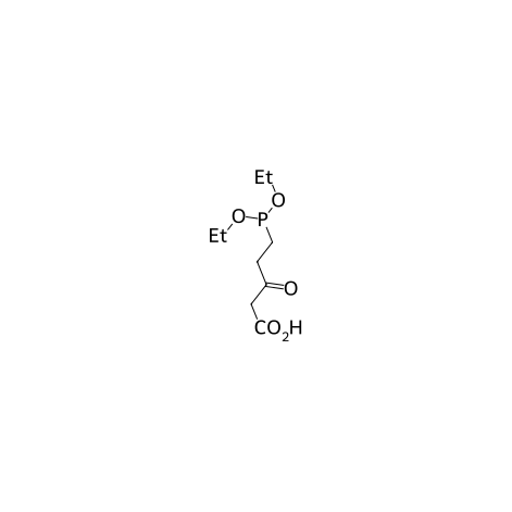 CCOP(CCC(=O)CC(=O)O)OCC